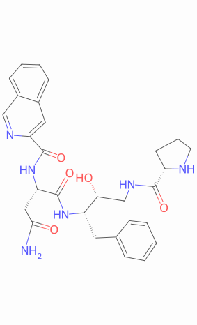 NC(=O)C[C@H](NC(=O)c1cc2ccccc2cn1)C(=O)N[C@@H](Cc1ccccc1)[C@H](O)CNC(=O)[C@@H]1CCCN1